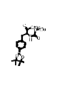 COC(=O)C(Cc1ccc(B2OC(C)(C)C(C)(C)O2)cc1)NC(=O)OC(C)(C)C